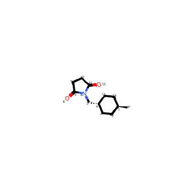 C[C@H]1CC[C@H](CN2C(=O)CCC2=O)CC1